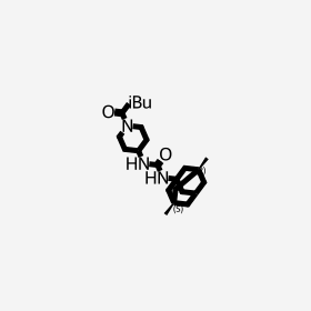 CCC(C)C(=O)N1CCC(NC(=O)NC23CC4C[C@@](C)(C2)C[C@](C)(C4)C3)CC1